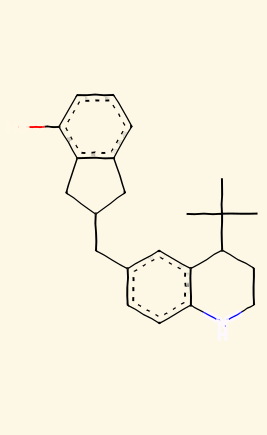 CC(C)(C)C1CCNc2ccc(CC3Cc4cccc(O)c4C3)cc21